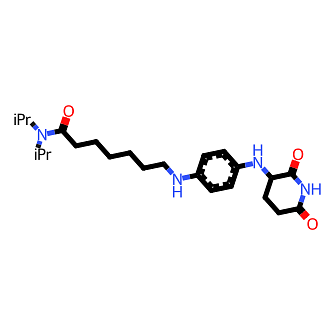 CC(C)N(C(=O)CCCCCCNc1ccc(NC2CCC(=O)NC2=O)cc1)C(C)C